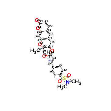 CN(C)S(=O)(=O)c1ccc(/C=C/C(=O)O[C@@H]2Cc3cc4ccc(=O)oc4cc3OC2(C)C)cc1